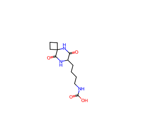 O=C(O)NCCCCC1NC(=O)C2(CCC2)NC1=O